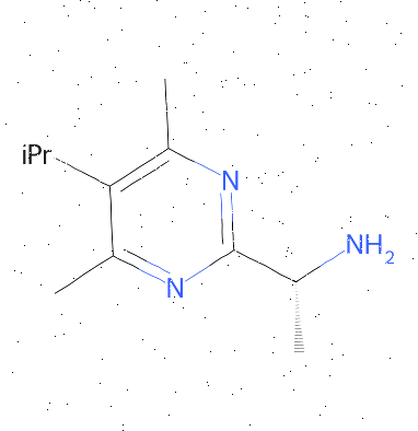 Cc1nc([C@@H](C)N)nc(C)c1C(C)C